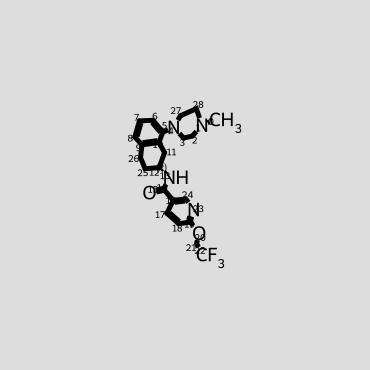 CN1CCN(c2cccc3c2C[C@H](NC(=O)c2ccc(OCC(F)(F)F)nc2)CC3)CC1